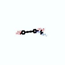 COC(=O)[C@@H](NC(=O)c1ccc(C#CC#CC2CCC(O)(CO)CC2)cc1)C(C)(C)N